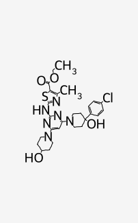 CCOC(=O)c1sc(Nc2nc(N3CCC(O)CC3)cc(N3CCC(O)(c4ccc(Cl)cc4)CC3)n2)nc1C